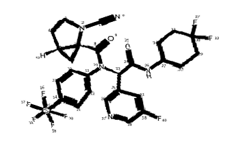 N#CN1CC[C@H]2C[C@]21C(=O)N(c1ccc(S(F)(F)(F)(F)F)cc1)[C@@H](C(=O)NC1CCC(F)(F)CC1)c1cncc(F)c1